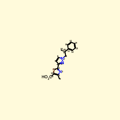 Cc1nc(-c2ccn(C[C@@H](C)c3ccccc3)n2)sc1C(=O)O